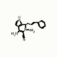 N#CC1=C(N)c2cc[nH]c2C(CC=Cc2ccccc2)N1N